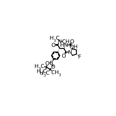 CN(C)C(=O)[C@@H](c1ccc(B2OC(C)(C)C(C)(C)O2)cc1)[C@H](NC(=O)O)C(=O)N1CC[C@H](F)C1